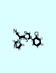 N#CC(=C1SC[C@@H](c2ccccc2Cl)S1)n1ccnc1